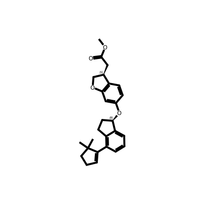 COC(=O)C[C@@H]1COc2cc(O[C@@H]3CCc4c(C5=CCCC5(C)C)cccc43)ccc21